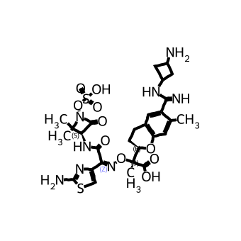 Cc1cc2c(cc1C(=N)NC1CC(N)C1)CC[C@H]([C@](C)(O/N=C(\C(=O)N[C@@H]1C(=O)N(OS(=O)(=O)O)C1(C)C)c1csc(N)n1)C(=O)O)O2